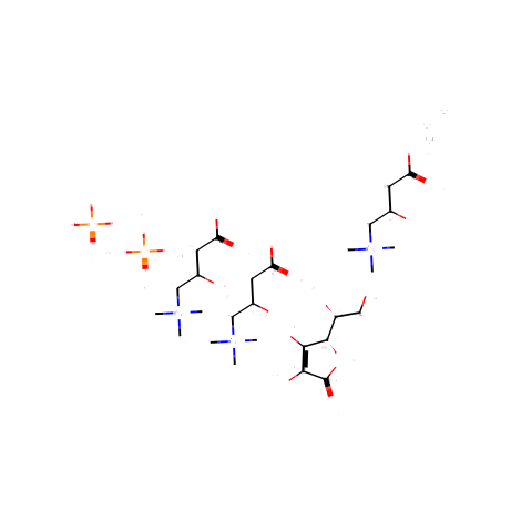 C[N+](C)(C)CC(O)CC(=O)[O-].C[N+](C)(C)CC(O)CC(=O)[O-].C[N+](C)(C)CC(O)CC(=O)[O-].O=C1O[C@H]([C@@H](O)CO)C(O)=C1O.O=P([O-])([O-])[O-].O=P([O-])([O-])[O-].[Mg+2].[Mg+2].[Mg+2]